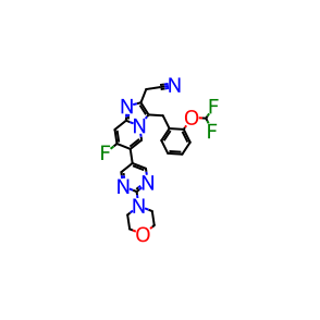 N#CCc1nc2cc(F)c(-c3cnc(N4CCOCC4)nc3)cn2c1Cc1ccccc1OC(F)F